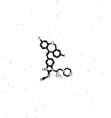 C[C@@H](CN1CCOCC1)n1/c(=N/C#N)[nH]c2cc(/C=C3\c4ccc(F)cc4COc4cc(F)ccc43)ccc21